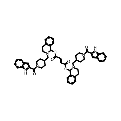 O=C(/C=C/C(=O)OC1c2ccccc2CCN1CC1CCN(C(=O)c2cc3ccccc3[nH]2)CC1)OC1c2ccccc2CCN1CC1CCN(C(=O)c2cc3ccccc3[nH]2)CC1